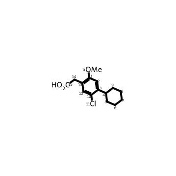 COc1cc(C2CCCCC2)c(Cl)cc1CC(=O)O